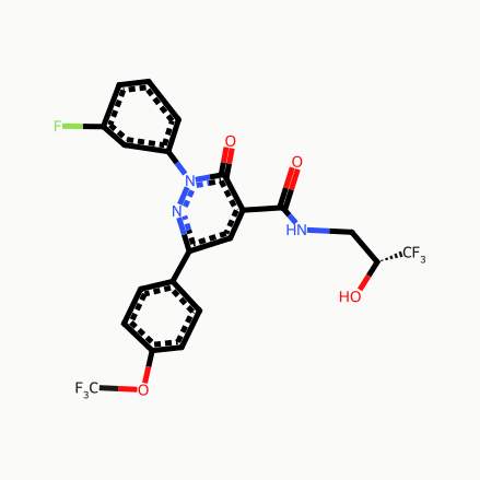 O=C(NC[C@@H](O)C(F)(F)F)c1cc(-c2ccc(OC(F)(F)F)cc2)nn(-c2cccc(F)c2)c1=O